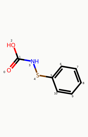 O=C(O)NSc1ccccc1